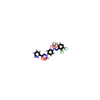 CS(=O)(=O)N(Cc1cccc(Cl)c1Cl)c1ccc(N(C=O)CC(O)c2ccccn2)cc1